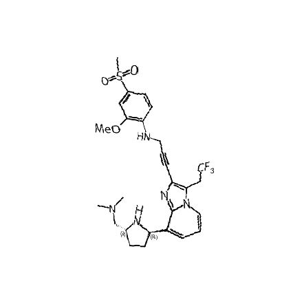 COc1cc(S(C)(=O)=O)ccc1NCC#Cc1nc2c([C@H]3CC[C@H](CN(C)C)N3)cccn2c1CC(F)(F)F